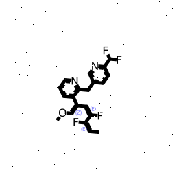 C\C=C(F)/C(F)=C\C(=C\OC)c1cccnc1Cc1ccc(C(F)F)nc1